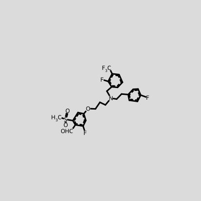 CS(=O)(=O)c1cc(OCCCN(CCc2ccc(F)cc2)Cc2cccc(C(F)(F)F)c2F)cc(F)c1C=O